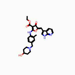 CCOC(=O)C1=C(Nc2ccc(CN3CCC(O)CC3)cc2C)OC(=Cc2c[nH]c3ncccc23)C1=O